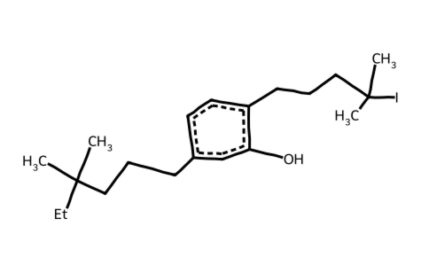 CCC(C)(C)CCCc1ccc(CCCC(C)(C)I)c(O)c1